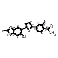 Cc1nc2cc(Cl)c(-c3ccc(-c4ccc(C(N)=O)c(F)c4)s3)cc2o1